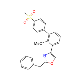 COc1c(-c2ccc(S(C)(=O)=O)cc2)cccc1-c1coc(Cc2ccccc2)n1